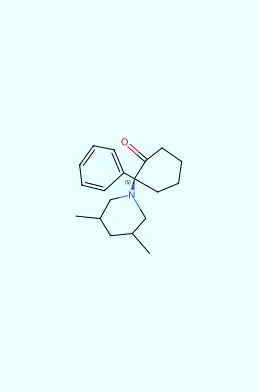 CC1CC(C)CN([C@]2(c3ccccc3)CCCCC2=O)C1